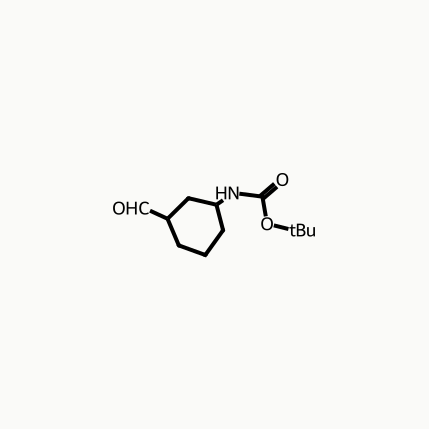 CC(C)(C)OC(=O)NC1CCCC(C=O)C1